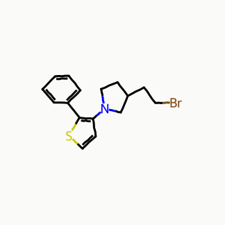 BrCCC1CCN(c2ccsc2-c2ccccc2)C1